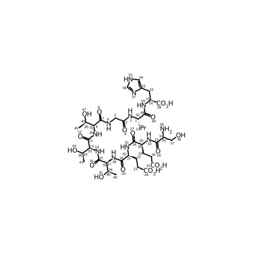 CC(C)[C@H](NC(=O)CNC(=O)[C@@H](NC(=O)[C@@H](NC(=O)[C@@H](NC(=O)[C@H](CCC(=O)O)NC(=O)[C@H](CCC(=O)O)NC(=O)[C@@H](N)CO)[C@@H](C)O)[C@@H](C)O)[C@@H](C)O)C(=O)N[C@@H](Cc1c[nH]cn1)C(=O)O